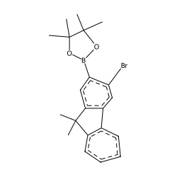 CC1(C)c2ccccc2-c2cc(Br)c(B3OC(C)(C)C(C)(C)O3)cc21